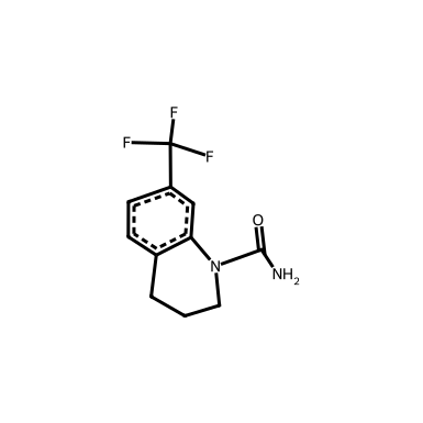 NC(=O)N1CCCc2ccc(C(F)(F)F)cc21